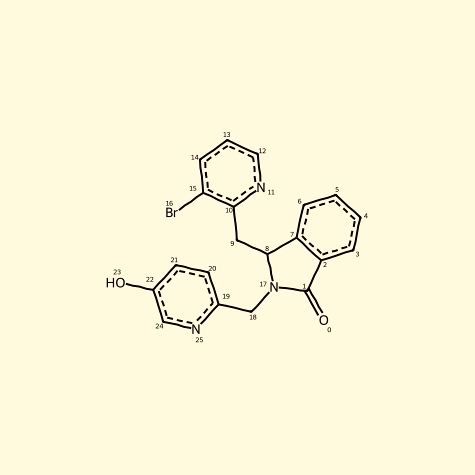 O=C1c2ccccc2C(Cc2ncccc2Br)N1Cc1ccc(O)cn1